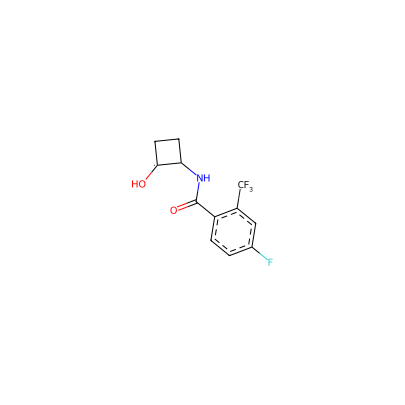 O=C(NC1CC[C]1O)c1ccc(F)cc1C(F)(F)F